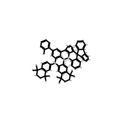 Cc1ccccc1-c1cc2c3c(c1)N(c1ccc4c(c1)C(C)(C)CCC4(C)C)c1cc4c(cc1B3N1c3ccccc3C3(c5ccccc5-c5ccccc53)c3cccc-2c31)C(C)(C)CCC4(C)C